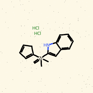 Cl.Cl.[CH2]=[Zr]([CH3])([CH3])([C]1=CC=CC1)[c]1cc2ccccc2[nH]1